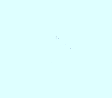 Cc1c(C)c(C)c2c(c1C)NC(C)C2C